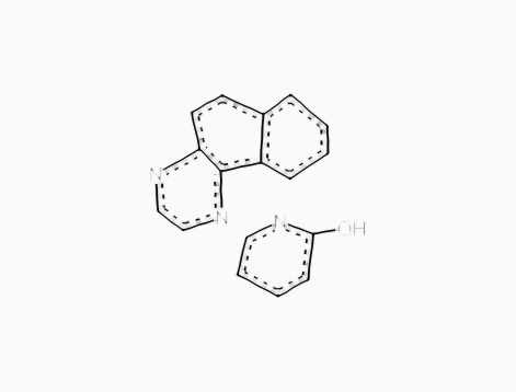 Oc1ccccn1.c1ccc2c(c1)ccc1nccnc12